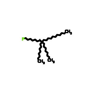 CCCCCCCCCCCC([CH]CCCCCCF)(CCCCCCCC)CCCCCCCC